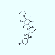 COC[C@H](NC(=O)c1c(F)c(C)c(N2CCOCC2)c(F)c1F)c1nc2cc(Cl)ccc2[nH]1